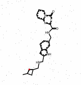 CC12CC(CNCc3cc4ccc(CNC(=O)c5cc(=O)n6ccccc6n5)cc4[nH]3)(C1)C2